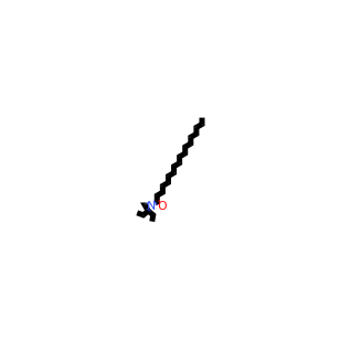 CCCCCCCCCCCCCCCCCC(=O)N1CC1(CC)CC